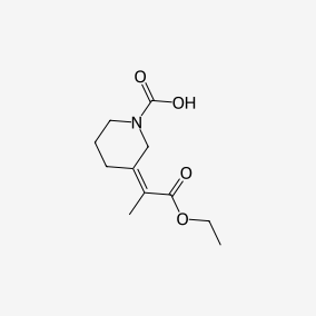 CCOC(=O)C(C)=C1CCCN(C(=O)O)C1